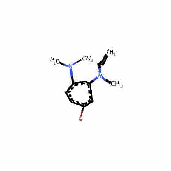 C=CN(C)c1cc(Br)ccc1N(C)C